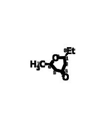 CC[C@@H]1CC(=O)C[C@@H](C)O1